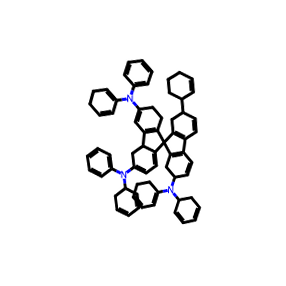 C1=CCCC(N(C2C=CC=CC2)C2C=CC3=C(C2)C2(C4=CC=C(N(c5ccccc5)C5C=CC=CC5)CC4C4=C2CCC(N(C2=CCCC=C2)c2ccccc2)=C4)C2=C3C=CC(C3C=CCCC3)C2)=C1